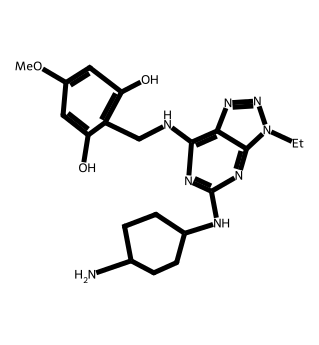 CCn1nnc2c(NCc3c(O)cc(OC)cc3O)nc(NC3CCC(N)CC3)nc21